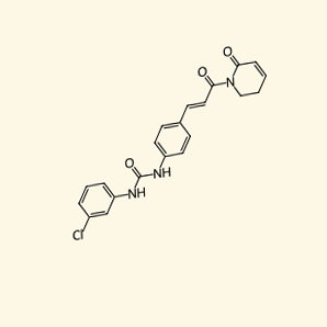 O=C(Nc1ccc(/C=C/C(=O)N2CCC=CC2=O)cc1)Nc1cccc(Cl)c1